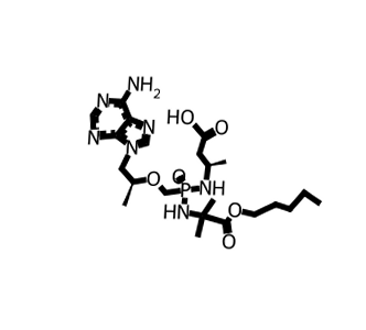 CCCCCOC(=O)C(C)(C)NP(=O)(CO[C@@H](C)Cn1cnc2c(N)ncnc21)N[C@H](C)CC(=O)O